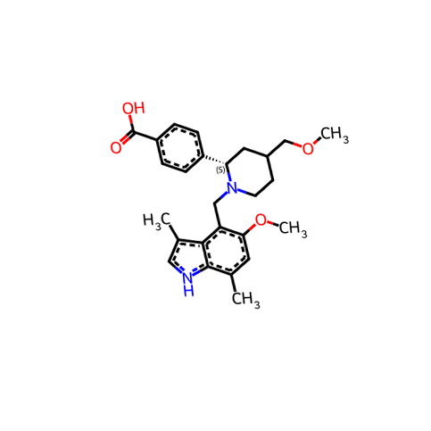 COCC1CCN(Cc2c(OC)cc(C)c3[nH]cc(C)c23)[C@H](c2ccc(C(=O)O)cc2)C1